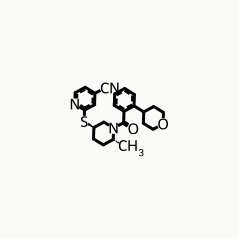 C[C@@H]1CC[C@@H](Sc2cc(C#N)ccn2)CN1C(=O)c1ccccc1C1CCOCC1